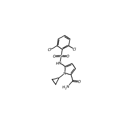 NC(=O)c1ccc(NS(=O)(=O)c2c(Cl)cccc2Cl)n1C1CC1